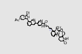 CCc1nc(-c2cccc3cc(-c4ccc(C(=O)NC/C=C/c5cccc6c5n(C)c(=O)n6C5CCC(=O)NC5=O)nc4)ncc23)c2n1CCN(C(C)=O)C2